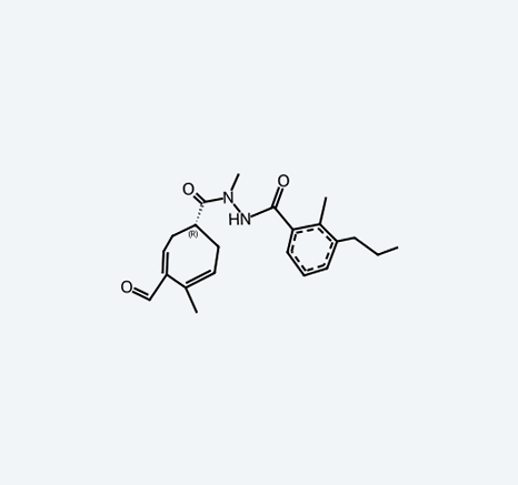 CCCc1cccc(C(=O)NN(C)C(=O)[C@@H]2CC=C(C)C(C=O)=CC2)c1C